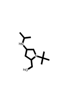 CC(C)NC1CC(CO)N(C(C)(C)C)C1